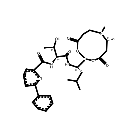 CC(C)C[C@H](NC(=O)[C@@H](NC(=O)c1cccc(-c2ccccc2)n1)[C@@H](C)O)B1OC(=O)CCN(C)[C@H](C)CC(=O)O1